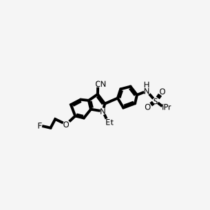 CCn1c(-c2ccc(NS(=O)(=O)C(C)C)cc2)c(C#N)c2ccc(OCCF)cc21